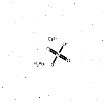 O=S(=O)([O-])[O-].[Ca+2].[PbH2]